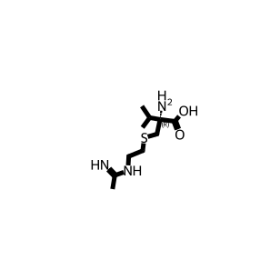 CC(=N)NCCSC[C@](N)(C(=O)O)C(C)C